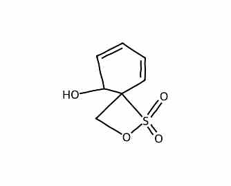 O=S1(=O)OCC12C=CC=CC2O